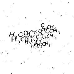 CC(C)[C@H](NC(=O)[C@H](C(C)C)N(C)C(=O)OCc1ccc(NC(C)(C)C)cc1)C(=O)N(C)C